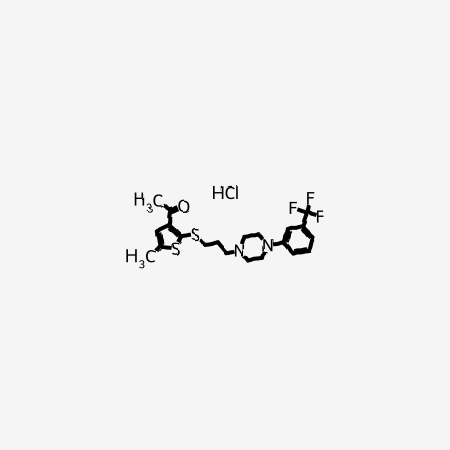 CC(=O)c1cc(C)sc1SCCCN1CCN(c2cccc(C(F)(F)F)c2)CC1.Cl